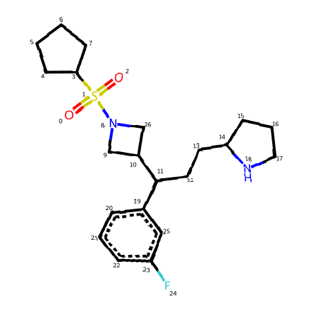 O=S(=O)(C1CCCC1)N1CC(C(CCC2CCCN2)c2cccc(F)c2)C1